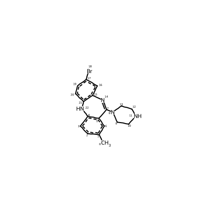 Cc1ccc2c(c1)C(N1CCNCC1)=Nc1cc(Br)ccc1N2